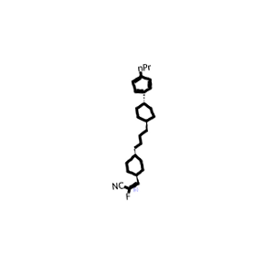 CCCc1ccc([C@H]2CC[C@H](CCCC[C@H]3CC[C@H](/C=C(/F)C#N)CC3)CC2)cc1